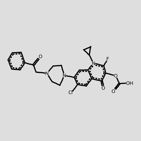 O=C(O)Oc1c(F)n(C2CC2)c2cc(N3CCN(CC(=O)c4ccccc4)CC3)c(Cl)cc2c1=O